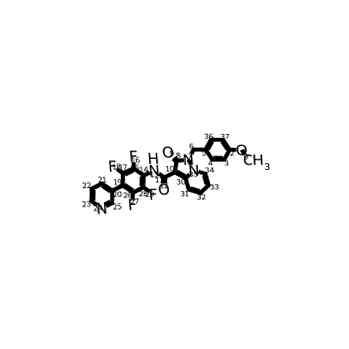 COc1ccc(Cn2c(=O)c(C(=O)Nc3c(F)c(F)c(-c4cccnc4)c(F)c3F)c3ccccn32)cc1